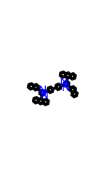 c1ccc2cc(-c3cc(-c4c5ccccc5cc5ccccc45)nc(-c4ccc(-c5ccc(-c6nc(-c7ccc8ccccc8c7)cc(-c7c8ccccc8cc8ccccc78)n6)cc5)cc4)n3)ccc2c1